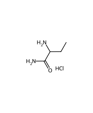 CCC(N)C(N)=O.Cl